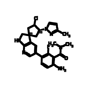 Cc1ccn([C@@H]2C[C@@]3(CNc4ncc(-c5ccc(N)c(C(=O)N(C)C)c5F)cc43)CC2Cl)n1